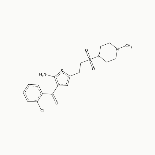 CN1CCN(S(=O)(=O)CCc2cc(C(=O)c3ccccc3Cl)c(N)s2)CC1